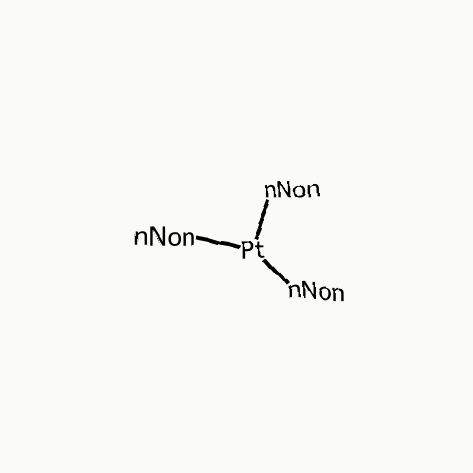 CCCCCCCC[CH2][Pt]([CH2]CCCCCCCC)[CH2]CCCCCCCC